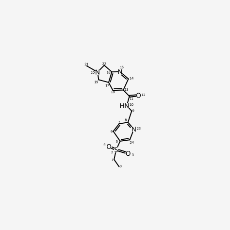 CCS(=O)(=O)c1ccc(CNC(=O)c2cnc3c(c2)CN(C)C3)nc1